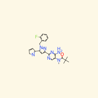 CN(C(=O)C(C)(C)C)c1cnc(-c2cc(C3=NCC=C3)n(Cc3ccccc3F)n2)nc1N